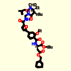 C=C(C)CON(C=O)[C@H](CC)[C@@H](CCCC)C(=O)NCNC(=O)c1ccc(-c2ccc(C(=O)N[C@@H](CC(=O)OCc3ccccc3)C(=O)OC(C)(C)C)c(OCC)c2)o1